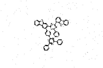 c1ccc(-c2nc(-c3ccccc3)nc(-c3ccc(-c4cc5c(cc4-c4nc(-c6ccccc6)nc(-c6cccc7c6oc6ccccc67)n4)oc4ccccc45)cc3)n2)cc1